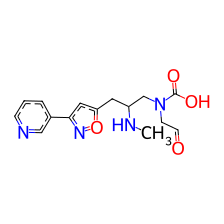 CNC(Cc1cc(-c2cccnc2)no1)CN(CC=O)C(=O)O